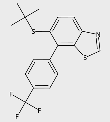 CC(C)(C)Sc1ccc2ncsc2c1-c1ccc(C(F)(F)F)cc1